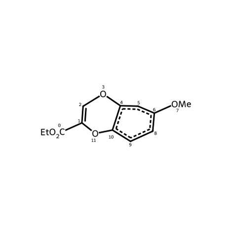 CCOC(=O)C1=COc2cc(OC)ccc2O1